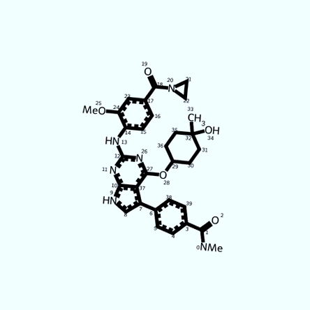 CNC(=O)c1ccc(-c2c[nH]c3nc(Nc4ccc(C(=O)N5CC5)cc4OC)nc(OC4CCC(C)(O)CC4)c23)cc1